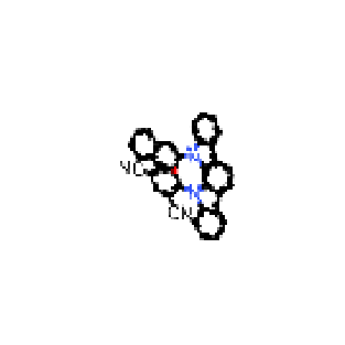 N#Cc1ccc(-n2c3ccccc3c3ccc4c5ccccc5n(-c5ccc6ccccc6c5)c4c32)c(C#N)c1